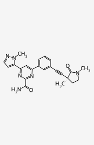 CN1CC[C@@](C)(C#Cc2cccc(-c3cc(-c4ccnn4C)nc(C(N)=O)n3)c2)C1=O